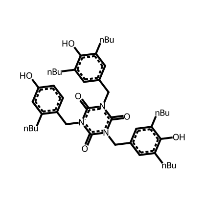 CCCCc1cc(O)ccc1Cn1c(=O)n(Cc2cc(CCCC)c(O)c(CCCC)c2)c(=O)n(Cc2cc(CCCC)c(O)c(CCCC)c2)c1=O